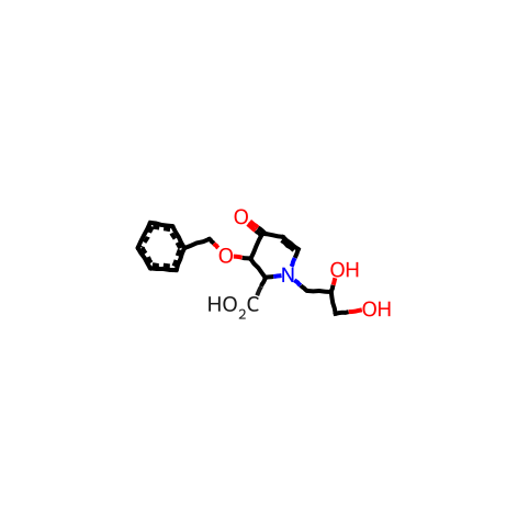 O=C1C=CN(CC(O)CO)C(C(=O)O)C1OCc1ccccc1